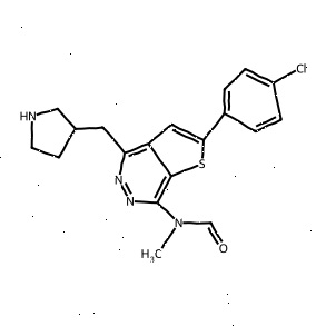 CN(C=O)c1nnc(CC2CCNC2)c2cc(-c3ccc(Cl)cc3)sc12